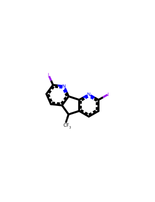 FC(F)(F)C1c2ccc(I)nc2-c2nc(I)ccc21